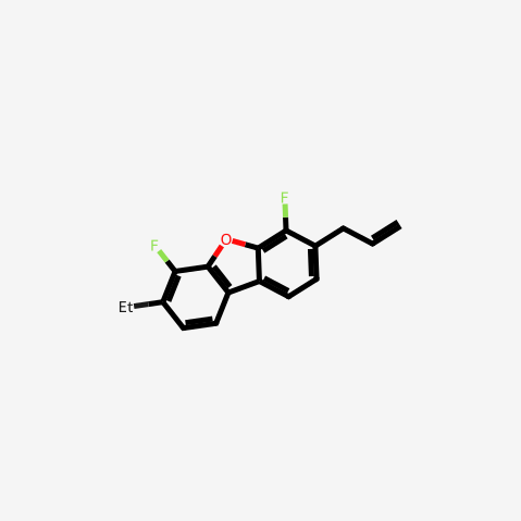 C=CCc1ccc2c(oc3c(F)c(CC)ccc32)c1F